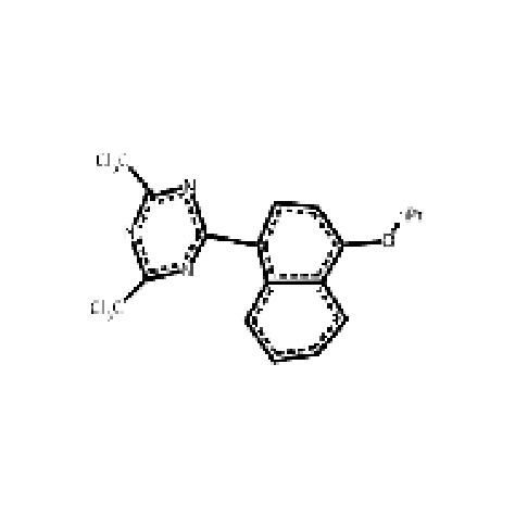 CCCOc1ccc(-c2nc(C(Cl)(Cl)Cl)nc(C(Cl)(Cl)Cl)n2)c2ccccc12